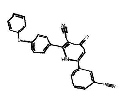 [C-]#[N+]c1cccc(-c2cc(=O)c(C#N)c(-c3ccc(Oc4ccccc4)cc3)[nH]2)c1